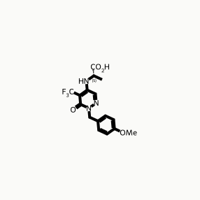 COc1ccc(Cn2ncc(N[C@@H](C)C(=O)O)c(C(F)(F)F)c2=O)cc1